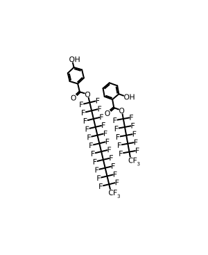 O=C(OC(F)(F)C(F)(F)C(F)(F)C(F)(F)C(F)(F)C(F)(F)C(F)(F)C(F)(F)C(F)(F)C(F)(F)C(F)(F)C(F)(F)F)c1ccc(O)cc1.O=C(OC(F)(F)C(F)(F)C(F)(F)C(F)(F)C(F)(F)C(F)(F)F)c1ccccc1O